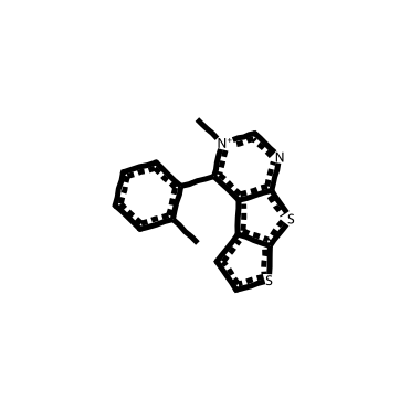 Cc1ccccc1-c1c2c(nc[n+]1C)sc1sccc12